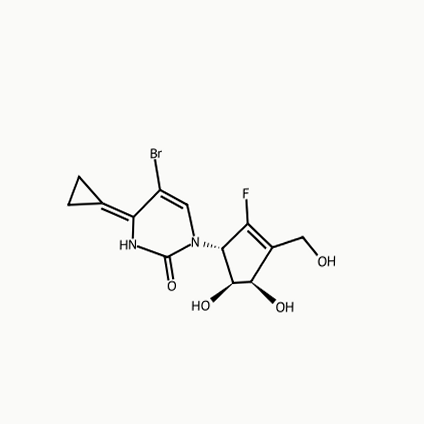 O=C1NC(=C2CC2)C(Br)=CN1[C@@H]1C(F)=C(CO)[C@@H](O)[C@H]1O